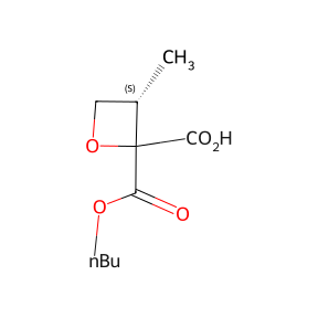 CCCCOC(=O)C1(C(=O)O)OC[C@@H]1C